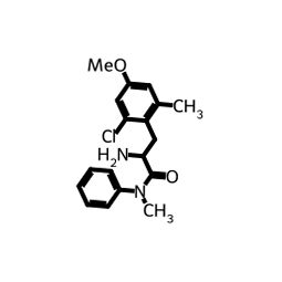 COc1cc(C)c(CC(N)C(=O)N(C)c2ccccc2)c(Cl)c1